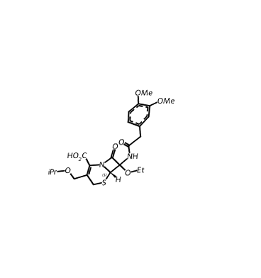 CCOC1(NC(=O)Cc2ccc(OC)c(OC)c2)C(=O)N2C(C(=O)O)=C(COC(C)C)CS[C@H]21